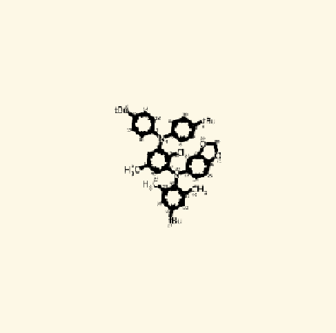 Cc1cc(N(c2ccc(C(C)(C)C)cc2)c2ccc(C(C)(C)C)cc2)c(Cl)c(N(c2ccc3c(c2)OCO3)c2c(C)cc(C(C)(C)C)cc2C)c1